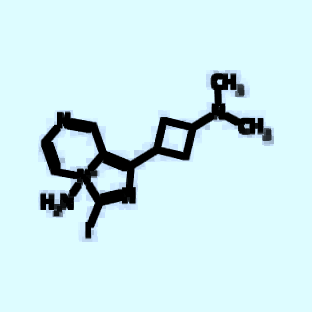 CN(C)C1CC(C2=C3C=NC=C[N+]3(N)C(I)=N2)C1